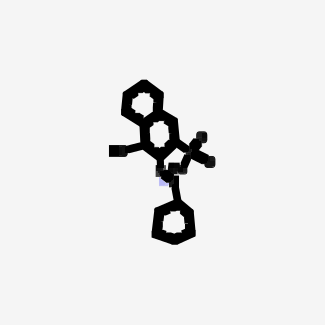 O=[S](=O)([Mo])c1cc2ccccc2c(O)c1/N=N/c1ccccc1